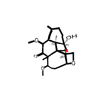 COC1C(=O)C2(C)C(OC)CC3OC[C@H]3C23C[C@]2(O)CCC(C)=C1[C@]32C